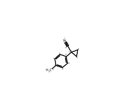 Cc1ccc(C2(C#N)CC2)cc1